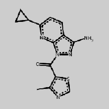 Cc1ncsc1C(=O)n1nc(N)c2ccc(C3CC3)nc21